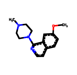 COc1ccc2ccnc(N3CCN(C)CC3)c2c1